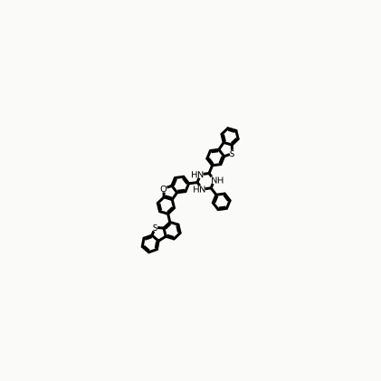 c1ccc(C2NC(c3ccc4c(c3)sc3ccccc34)NC(c3ccc4oc5ccc(-c6cccc7c6sc6ccccc67)cc5c4c3)N2)cc1